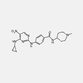 CN1CCC(NC(=O)c2ccc(Nc3ncc([N+](=O)[O-])c(NC4CC4)n3)cc2)CC1